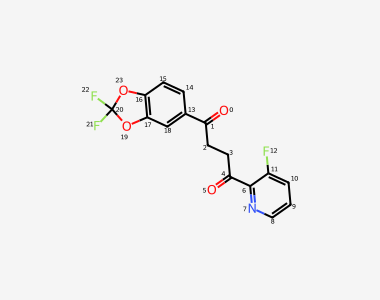 O=C(CCC(=O)c1ncccc1F)c1ccc2c(c1)OC(F)(F)O2